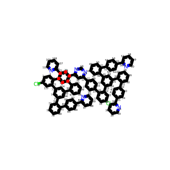 Clc1ccc(-c2ccc(-c3cc(-c4ccc(-c5ccc(Cl)cc5-c5cc(-c6ccccc6-c6ccc(-c7ccccn7)cc6)cc(-c6ccccc6-c6ccc(-c7ccccn7)cc6)c5)cc4)ncn3)cc2)c(-c2cc(-c3ccccc3-c3ccc(-c4ccccn4)cc3)cc(-c3ccccc3-c3ccc(-c4ccccn4)cc3)c2)c1